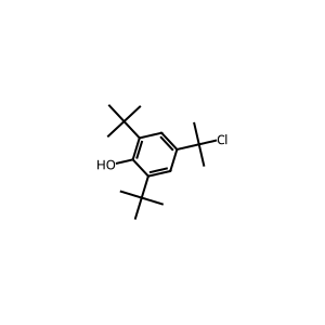 CC(C)(C)c1cc(C(C)(C)Cl)cc(C(C)(C)C)c1O